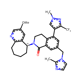 COc1cnc2c(c1)[C@@H](N1CCc3c(cc(Cn4ccnc4C)cc3-c3cn(C)nc3C(F)(F)F)C1=O)CCCC2